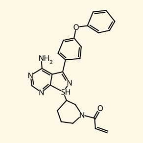 C=CC(=O)N1CCCC([SH]2N=C(c3ccc(Oc4ccccc4)cc3)c3c(N)ncnc32)C1